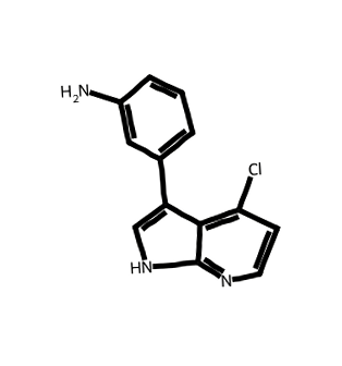 Nc1cccc(-c2c[nH]c3nccc(Cl)c23)c1